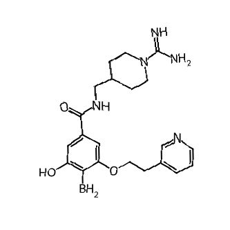 Bc1c(O)cc(C(=O)NCC2CCN(C(=N)N)CC2)cc1OCCc1cccnc1